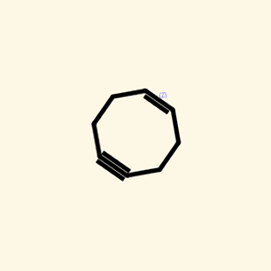 C1#CCC/C=C\CC1